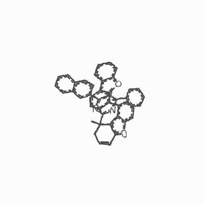 CC1(c2nc(-c3ccccc3)nc(-c3ccc4ccccc4c3)n2)CC=Cc2oc3cccc(-c4cccc5c4oc4ccccc45)c3c21